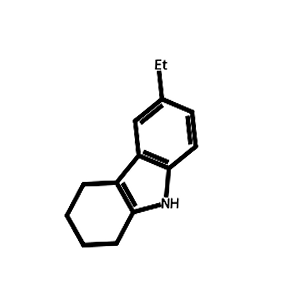 CCc1ccc2[nH]c3c(c2c1)CCCC3